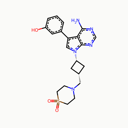 Nc1ncnc2c1c(-c1cccc(O)c1)cn2[C@H]1C[C@@H](CN2CCS(=O)(=O)CC2)C1